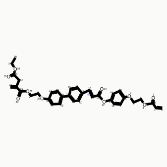 C=CC(=O)OCCOc1ccc(OC(=O)/C=C/c2ccc(-c3ccc(OCCOC(=O)C(=C)CC(=O)OCC)cc3)cc2)cc1